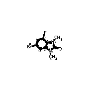 Cn1c(=O)n(C)c2c(I)cc(Br)cc21